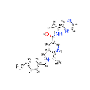 CC(C)[C@H]1c2ncc(C(=O)NC3(c4cnccn4)CC3)cc2CN1Cc1ccc(C(F)(F)F)cc1